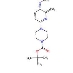 C=C1N=C(N2CCN(C(=O)OC(C)(C)C)CC2)C=C/C1=N/C